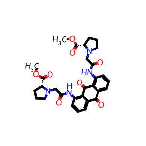 COC(=O)[C@H]1CCCN1CC(=O)Nc1cccc2c1C(=O)c1c(NC(=O)CN3CCC[C@H]3C(=O)OC)cccc1C2=O